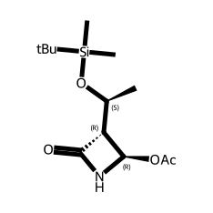 CC(=O)O[C@H]1NC(=O)[C@@H]1[C@H](C)O[Si](C)(C)C(C)(C)C